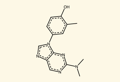 Cc1cc(-n2cnc3cnc(N(C)C)nc32)ccc1O